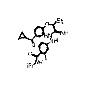 CCC(Oc1ccc(C(=O)C2CC2)cc1)C(=N)NNc1ccc(C(=O)NC(C)C)c(F)c1